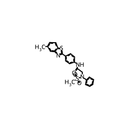 Cc1ccc2sc(-c3ccc(NC(=O)CN(c4ccccc4)S(C)(=O)=O)cc3)nc2c1